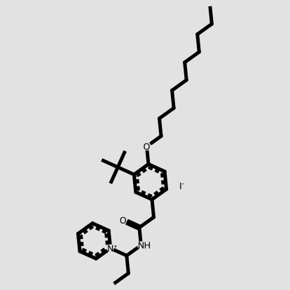 CCCCCCCCCCOc1ccc(CC(=O)NC(CC)[n+]2ccccc2)cc1C(C)(C)C.[I-]